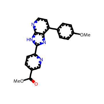 COC(=O)c1ccc(-c2nc3c(-c4ccc(OC)cc4)ccnc3[nH]2)nc1